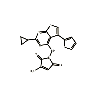 CC1=CC(=O)N(Nc2nc(C3CC3)nc3scc(-c4cccs4)c23)C1=O